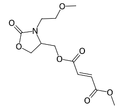 COCCN1C(=O)OCC1COC(=O)/C=C/C(=O)OC